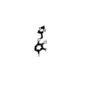 Fc1c(I)ccc(OCc2cscn2)c1Cl